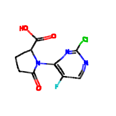 O=C(O)C1CCC(=O)N1c1nc(Cl)ncc1F